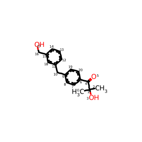 CC(C)(O)C(=O)c1ccc(Cc2cccc(CO)c2)cc1